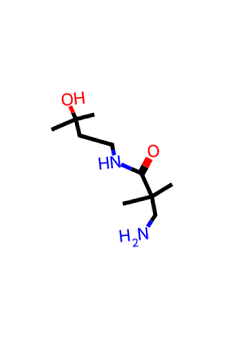 CC(C)(O)CCNC(=O)C(C)(C)CN